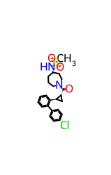 CS(=O)(=O)N[C@@H]1CCCN(C(=O)[C@@H]2C[C@H]2c2ccccc2-c2ccc(Cl)cc2)CC1